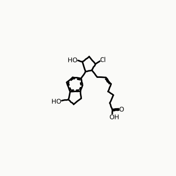 O=C(O)CCC/C=C\CC1C(Cl)CC(O)C1c1ccc2c(c1)CCC2O